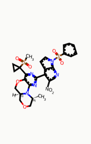 C[C@@H]1COC[C@H]2COc3c(nc(-c4c([N+](=O)[O-])cnc5c4ccn5S(=O)(=O)c4ccccc4)nc3C3(S(C)(=O)=O)CC3)N21